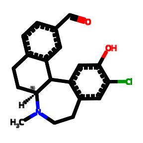 CN1CCc2cc(Cl)c(O)cc2C2c3cc(C=O)ccc3CC[C@@H]21